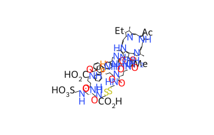 CC[C@H]1c2cc3[nH]c4c(c3C)C(=O)C(C(=O)OC)c4c3nc(cc4[nH]c(cc(n2)[C@@H]1C)c(C(C)=O)c4C)[C@@H](C)[C@@H]3CCC(=O)NCCC[C@H](NC(=O)CC[PH](c1ccccc1)(c1ccccc1)c1ccccc1)C(=O)NCCSSC[C@H](NC(=O)[C@H](CC(=O)NCCS(=O)(=O)O)NC(=O)CC[C@H](NC(=O)c1ccc(NCc2cnc3nc(N)[nH]c(=O)c3n2)cc1)C(=O)O)C(=O)O